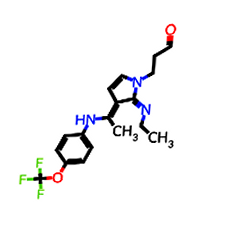 CC/N=C1\C(=C(/C)Nc2ccc(OC(F)(F)F)cc2)C=CN1CCC=O